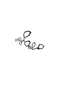 O=C(CC1CCCCC1)OC1CCC(C(C(=O)O)C2CCCCC2)CC1